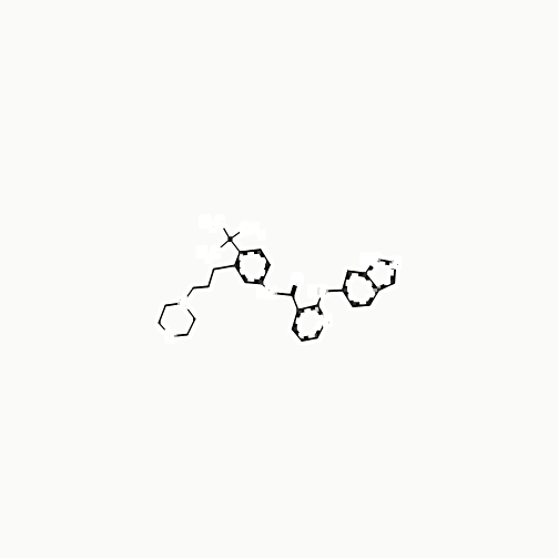 CC(C)(C)c1ccc(NC(=O)c2cccnc2Nc2ccc3cn[nH]c3c2)cc1CCCN1CCOCC1